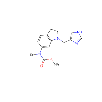 CCCOC(=O)N(CC)c1ccc2c(c1)N(Cc1c[nH]cn1)CC2